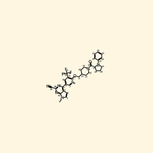 Cn1ccc2c(-c3cnc(OCC4CCN(C(=O)[C@@H]5CCCN5c5ccccc5)CC4)c(C(F)(F)F)c3)nc(C#N)nc21